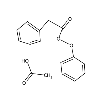 CC(=O)O.O=C(Cc1ccccc1)OOc1ccccc1